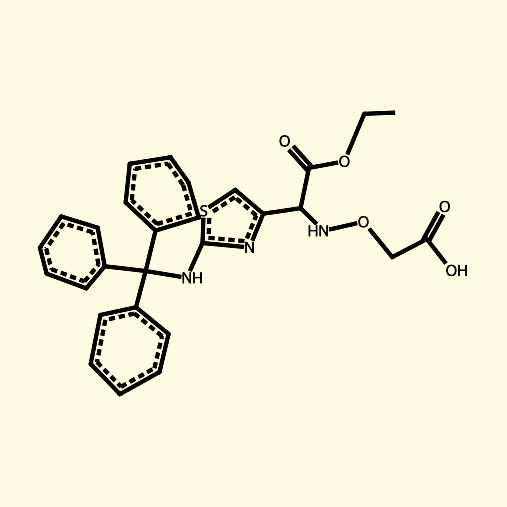 CCOC(=O)C(NOCC(=O)O)c1csc(NC(c2ccccc2)(c2ccccc2)c2ccccc2)n1